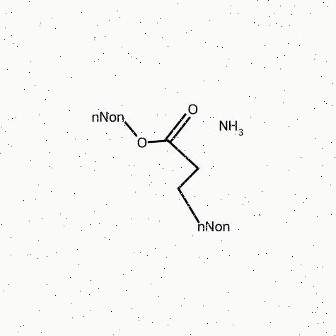 CCCCCCCCCCCC(=O)OCCCCCCCCC.N